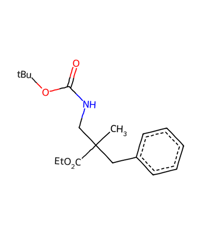 CCOC(=O)C(C)(CNC(=O)OC(C)(C)C)Cc1ccccc1